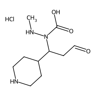 CNN(C(=O)O)C(CC=O)C1CCNCC1.Cl